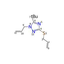 C=CCSc1nc(C(C)(C)C)n(CC=C)n1